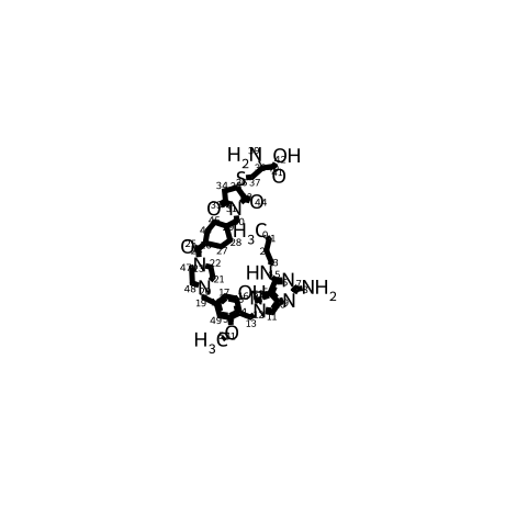 CCCCNc1nc(N)nc2cn(Cc3c(O)cc(CN4CCN(C(=O)C5CCC(CN6C(=O)CC(SC[C@H](N)C(=O)O)C6=O)CC5)CC4)cc3OC)nc12